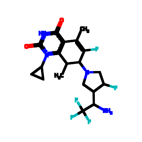 CC1=C(F)C(N2CC(F)C(C(N)C(F)(F)F)C2)C(C)c2c1c(=O)[nH]c(=O)n2C1CC1